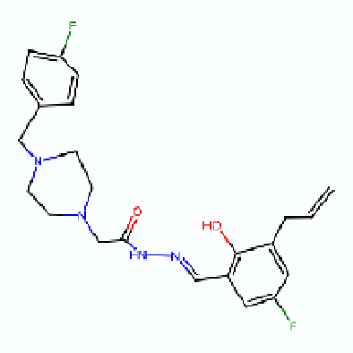 C=CCc1cc(F)cc(C=NNC(=O)CN2CCN(Cc3ccc(F)cc3)CC2)c1O